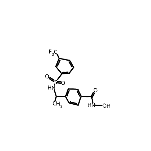 CC(NS(=O)(=O)c1cccc(C(F)(F)F)c1)c1ccc(C(=O)NO)cc1